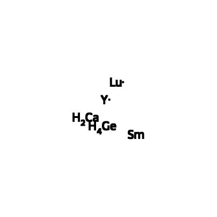 [CaH2].[GeH4].[Lu].[Sm].[Y]